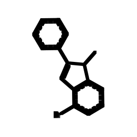 CC1C(c2ccccc2)=Cc2c(Br)cccc21